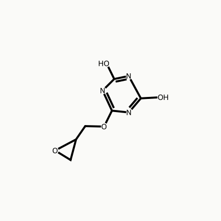 Oc1nc(O)nc(OCC2CO2)n1